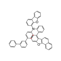 c1ccc(-c2cccc(-c3ccc(N(c4ccccc4-c4cccc5oc6c7ccccc7ccc6c45)c4cccc5c4oc4ccccc45)cc3)c2)cc1